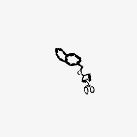 O=S1(=O)C=CC(OCc2ccc3ccccc3c2)C1